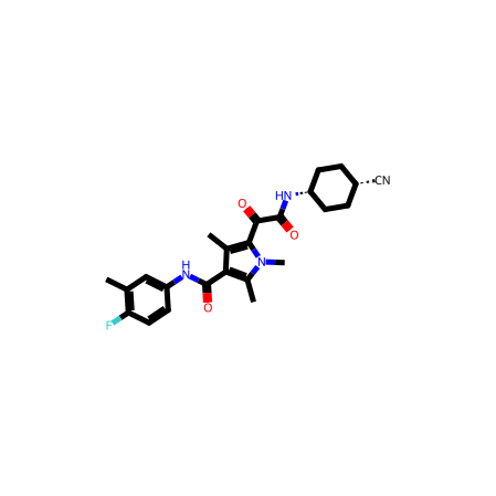 Cc1cc(NC(=O)c2c(C)c(C(=O)C(=O)N[C@H]3CC[C@@H](C#N)CC3)n(C)c2C)ccc1F